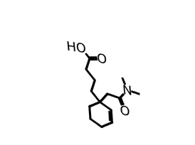 CN(C)C(=O)CC1(CCCC(=O)O)C=CCCC1